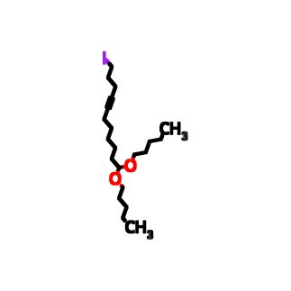 CCCCCOC(CCCCCC#CCCCI)OCCCCC